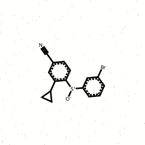 N#Cc1ccc([S+]([O-])c2cccc(Br)c2)c(C2CC2)c1